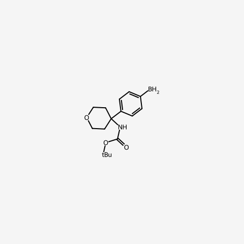 Bc1ccc(C2(NC(=O)OC(C)(C)C)CCOCC2)cc1